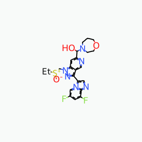 CC[S+]([O-])Cn1nc(-c2cnc3c(F)cc(F)cn23)c2cnc(C(O)N3CCCOCC3)cc21